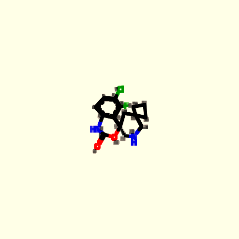 O=C1Nc2ccc(Cl)c(F)c2[C@]2(CNCC3(CCC3)C2)O1